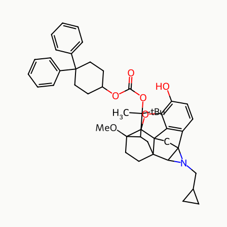 COC12CCC3(CC1C(C)(OC(=O)OC1CCC(c4ccccc4)(c4ccccc4)CC1)C(C)(C)C)C1N(CC4CC4)C14CC31c3c4ccc(O)c3OC21